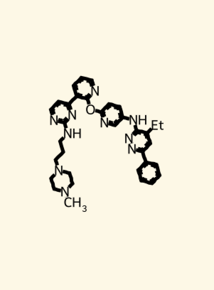 CCc1cc(-c2ccccc2)nnc1Nc1ccc(Oc2ncccc2-c2ccnc(NCCCN3CCN(C)CC3)n2)nc1